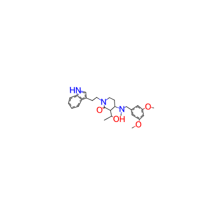 COc1cc(CN(C)C2CCN(CCc3c[nH]c4ccccc34)C(=O)C2C(C)O)cc(OC)c1